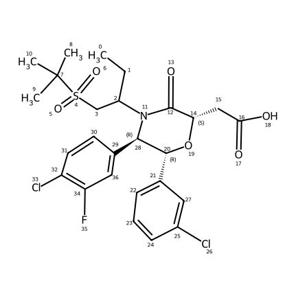 CCC(CS(=O)(=O)C(C)(C)C)N1C(=O)[C@H](CC(=O)O)O[C@H](c2cccc(Cl)c2)[C@H]1c1ccc(Cl)c(F)c1